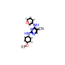 CCO[C@H]1CC[C@H](Nc2ncc(C#N)c(N[C@H]3CCCOC3)n2)CC1